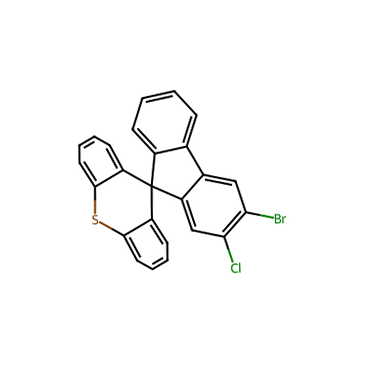 Clc1cc2c(cc1Br)-c1ccccc1C21c2ccccc2Sc2ccccc21